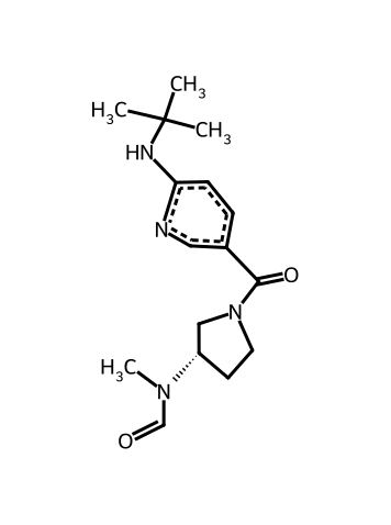 CN(C=O)[C@H]1CCN(C(=O)c2ccc(NC(C)(C)C)nc2)C1